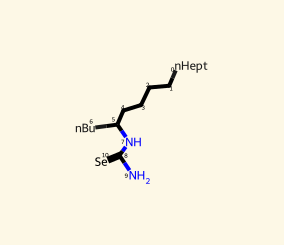 CCCCCCCCCCCC(CCCC)NC(N)=[Se]